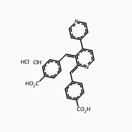 Cl.Cl.O=C(O)c1ccc(C=c2nccc(-c3ccncc3)c2=Cc2ccc(C(=O)O)cc2)cc1